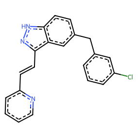 Clc1cccc(Cc2ccc3[nH]nc(/C=C/c4ccccn4)c3c2)c1